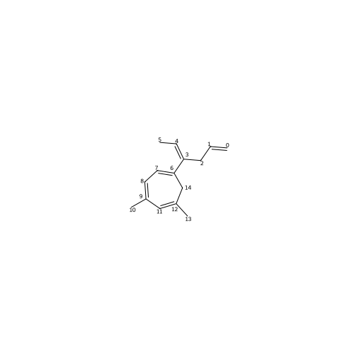 C=CC/C(=C/C)C1=CC=C(C)C=C(C)C1